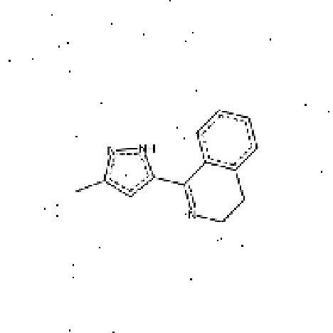 Cc1cc(C2=NCCc3ccccc32)[nH]n1